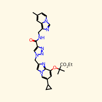 CCOC(=O)C(C)(C)Oc1cc(C2CC2)cn2cc(Cn3cc(C(=O)NCc4ncn5ccc(C)cc45)nn3)nc12